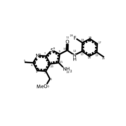 COCc1cc(C)nc2sc(C(=O)Nc3cc(C)ccc3F)c(N)c12